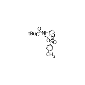 Cc1ccc(S(=O)(=O)OC(CNC(=O)OC(C)(C)C)C2C=CCO2)cc1